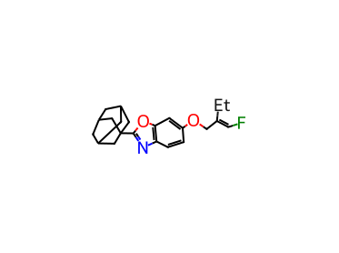 CC/C(=C\F)COc1ccc2nc(C34CC5CC(CC(C5)C3)C4)oc2c1